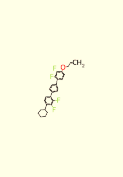 C=CCOc1ccc(-c2ccc(-c3ccc(C4CCCCC4)c(F)c3F)cc2)c(F)c1F